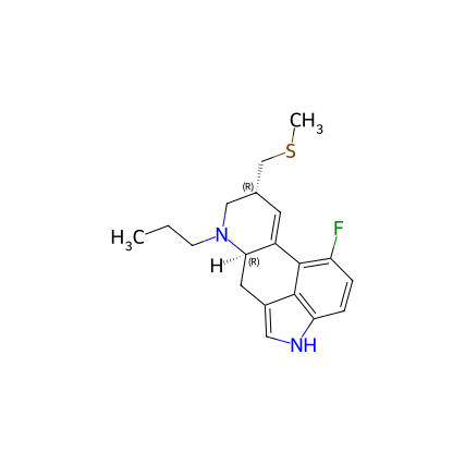 CCCN1C[C@H](CSC)C=C2c3c(F)ccc4[nH]cc(c34)C[C@H]21